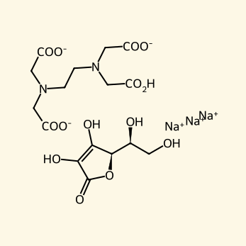 O=C([O-])CN(CCN(CC(=O)[O-])CC(=O)O)CC(=O)[O-].O=C1O[C@H]([C@@H](O)CO)C(O)=C1O.[Na+].[Na+].[Na+]